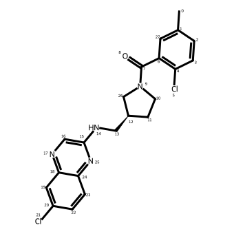 Cc1ccc(Cl)c(C(=O)N2CC[C@@H](CNc3cnc4cc(Cl)ccc4n3)C2)c1